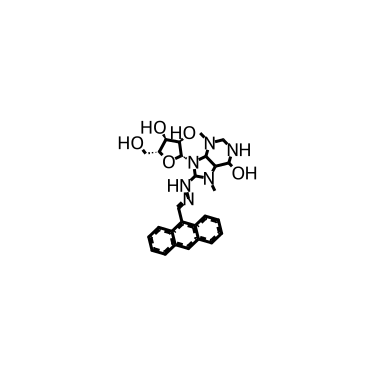 CN1CNC(O)C2C1N([C@@H]1O[C@H](CO)[C@@H](O)[C@H]1O)C(N/N=C/c1c3ccccc3cc3ccccc13)N2C